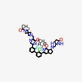 COc1nc(-c2cccc(-c3cccc(-c4cc5c(c(OC)n4)C(NCC4CCC(=O)N4)CC5)c3Cl)c2F)cnc1CN1CC2(C1)CN(C(C)=O)C2